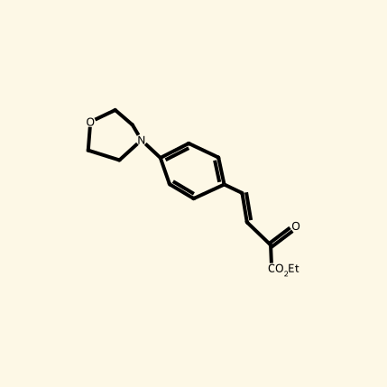 CCOC(=O)C(=O)/C=C/c1ccc(N2CCOCC2)cc1